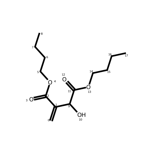 C=C(C(=O)OCCCC)C(O)C(=O)OCCCC